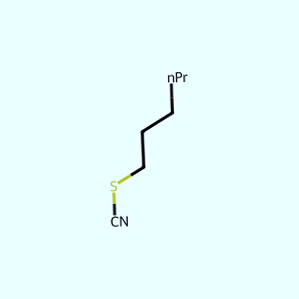 [CH2]CCCCCSC#N